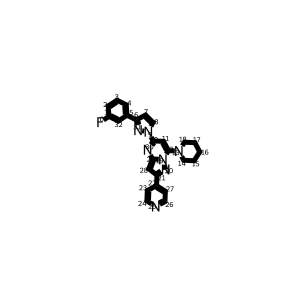 Fc1cccc(-c2ccn(-c3cc(N4CCCCC4)n4nc(-c5ccncc5)cc4n3)n2)c1